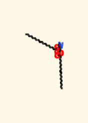 CCCCCCCCC=CCCCCCCCC(=O)OC(CCN(C)C)OC(=O)CCCCCCCC=CCCCCCCCC